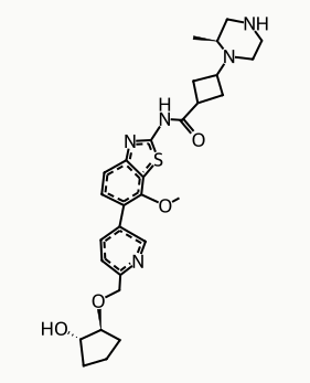 COc1c(-c2ccc(CO[C@H]3CCC[C@@H]3O)nc2)ccc2nc(NC(=O)C3CC(N4CCNC[C@@H]4C)C3)sc12